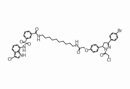 O=C(COc1ccc(C2CC(c3ccc(Br)cc3)=NN2C(=O)CCl)cc1)NCCCCCCCCCCNC(=O)c1cccc(S(=O)(=O)Nc2cccc3c(Cl)c[nH]c23)c1